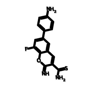 N=c1oc2c(F)cc(-c3ccc(N)cc3)cc2cc1C(N)=S